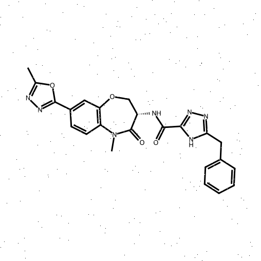 Cc1nnc(-c2ccc3c(c2)OC[C@H](NC(=O)c2nnc(Cc4ccccc4)[nH]2)C(=O)N3C)o1